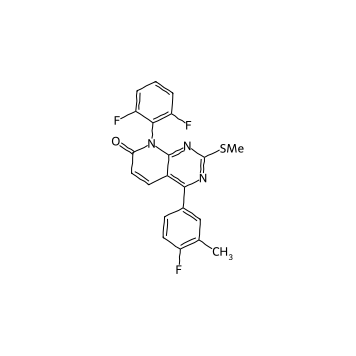 CSc1nc(-c2ccc(F)c(C)c2)c2ccc(=O)n(-c3c(F)cccc3F)c2n1